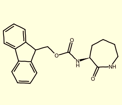 O=C(N[C@H]1CCCCNC1=O)OCC1c2ccccc2-c2ccccc21